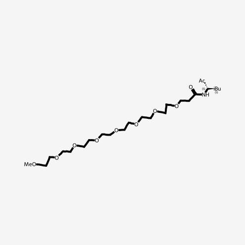 CC[C@H](C)[C@H](NC(=O)CCOCCOCCOCCOCCOCCOCCOCCOC)C(C)=O